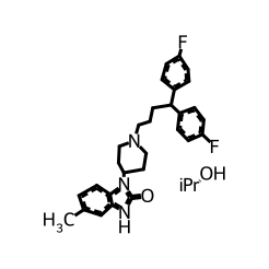 CC(C)O.Cc1ccc2c(c1)[nH]c(=O)n2C1CCN(CCCC(c2ccc(F)cc2)c2ccc(F)cc2)CC1